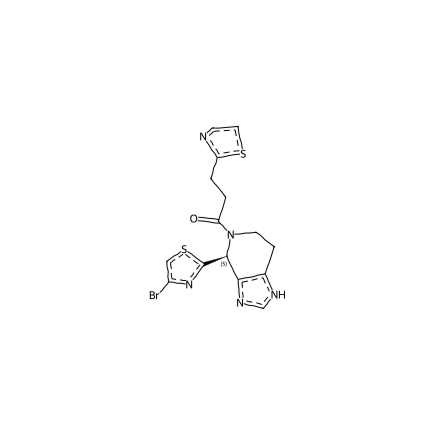 O=C(CCc1nccs1)N1CCc2[nH]cnc2[C@H]1c1nc(Br)cs1